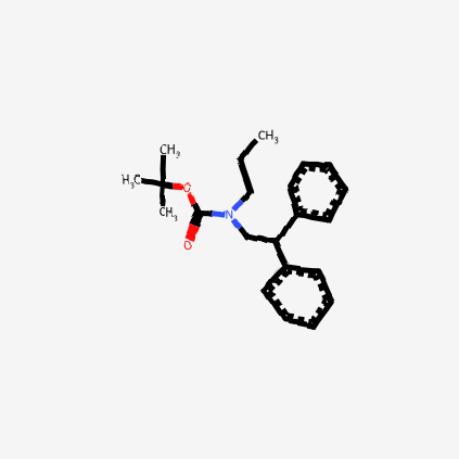 C[CH]CN(CC(c1ccccc1)c1ccccc1)C(=O)OC(C)(C)C